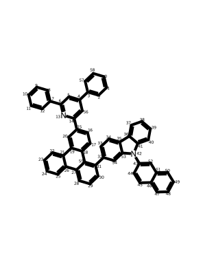 c1ccc(-c2cc(-c3ccccc3)nc(-c3ccc4c(c3)c3ccccc3c3cccc(-c5ccc6c7ccccc7n(-c7ccc8ccccc8c7)c6c5)c34)c2)cc1